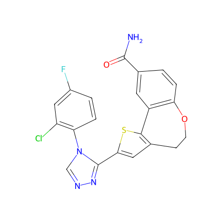 NC(=O)c1ccc2c(c1)-c1sc(-c3nncn3-c3ccc(F)cc3Cl)cc1CCO2